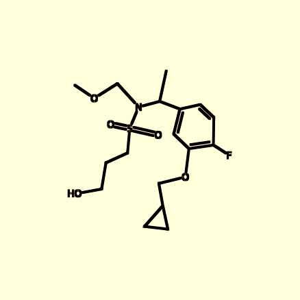 COCN(C(C)c1ccc(F)c(OCC2CC2)c1)S(=O)(=O)CCCO